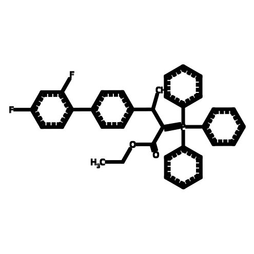 CCOC(=O)C(C(C)c1ccc(-c2ccc(F)cc2F)cc1)=P(c1ccccc1)(c1ccccc1)c1ccccc1